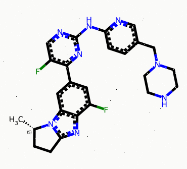 C[C@H]1CCc2nc3c(F)cc(-c4nc(Nc5ccc(CN6CCNCC6)cn5)ncc4F)cc3n21